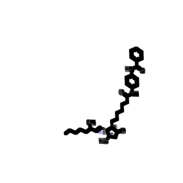 CCCCCC(O)/C=C/[C@H]1[C@H](O)CC(=O)[C@@H]1CCCCCCC(=O)Nc1ccc(NC(=O)c2ccccc2)cc1